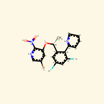 C[C@@H](Oc1cc(Br)cnc1[N+](=O)[O-])c1cc(F)cc(F)c1-c1ccccn1